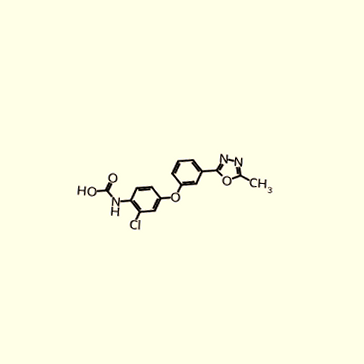 Cc1nnc(-c2cccc(Oc3ccc(NC(=O)O)c(Cl)c3)c2)o1